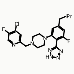 CC(C)Cc1cc(F)c(-c2nn[nH]n2)c(N2CCN(Cc3cc(Cl)c(F)cn3)CC2)c1